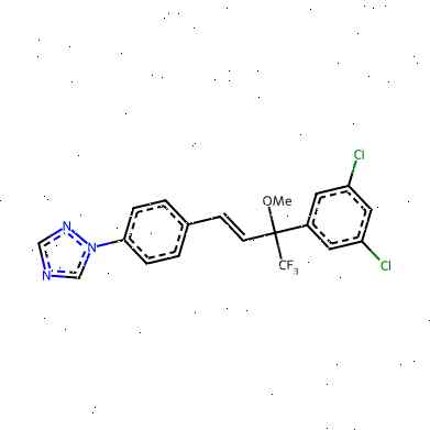 COC(/C=C/c1ccc(-n2cncn2)cc1)(c1cc(Cl)cc(Cl)c1)C(F)(F)F